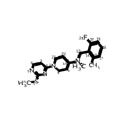 CSc1nccc(N2CCC(N(C)Cc3c(C)cccc3F)CC2)n1